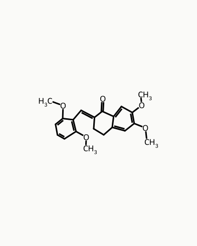 COc1cc2c(cc1OC)C(=O)C(=Cc1c(OC)cccc1OC)CC2